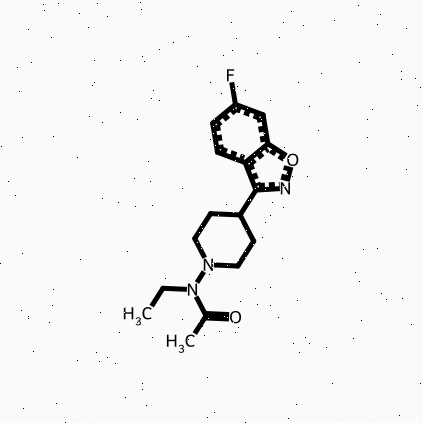 CCN(C(C)=O)N1CCC(c2noc3cc(F)ccc23)CC1